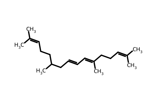 CC(C)=CCC/C(C)=C/C=CCC(C)CCC=C(C)C